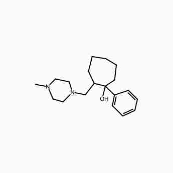 CN1CCN(CC2CCCCCC2(O)c2ccccc2)CC1